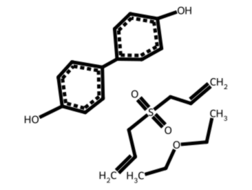 C=CCS(=O)(=O)CC=C.CCOCC.Oc1ccc(-c2ccc(O)cc2)cc1